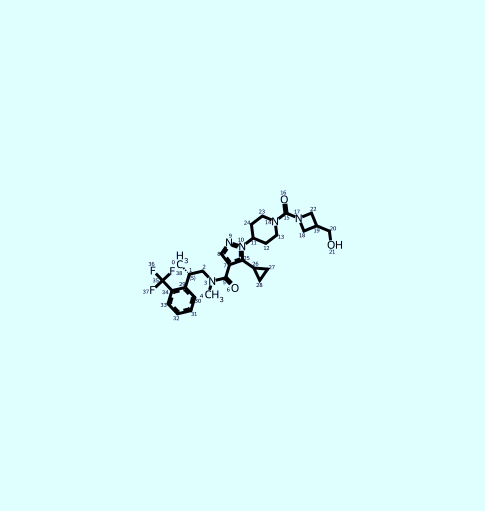 C[C@H](CN(C)C(=O)c1cnn(C2CCN(C(=O)N3CC(CO)C3)CC2)c1C1CC1)c1ccccc1C(F)(F)F